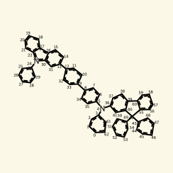 c1ccc(N(c2ccc(-c3ccc(-c4ccc5c6ccccc6n(-c6ccccc6)c5c4)cc3)cc2)c2ccc3c(c2)C(c2ccccc2)(c2ccccc2)c2ccccc2-3)cc1